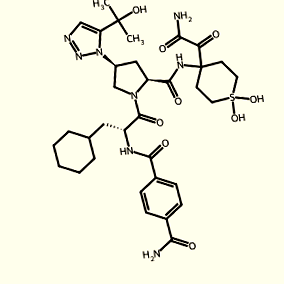 CC(C)(O)c1cnnn1[C@H]1C[C@@H](C(=O)NC2(C(=O)C(N)=O)CCS(O)(O)CC2)N(C(=O)[C@@H](CC2CCCCC2)NC(=O)c2ccc(C(N)=O)cc2)C1